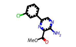 COC(=O)c1nc(-c2cccc(Cl)c2)cnc1N